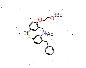 CCc1ccc(OCCOC(C)(C)C)c(CN(C(C)=O)c2cc(F)ccc2Cc2ccccc2)c1